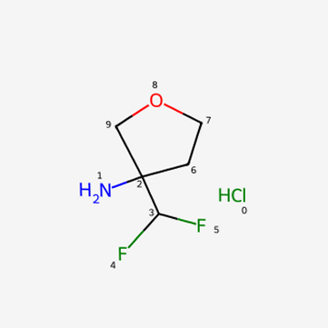 Cl.NC1(C(F)F)CCOC1